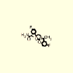 C[C@@H](c1cccc(F)c1)N1CC[C@](CCC(N)=O)(c2ccc(F)cc2)OC1=O